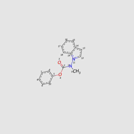 CN(C(=O)Oc1ccccc1)n1ccc2ccccc21